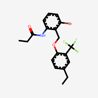 CCC(=O)Nc1cccc(Br)c1COc1ccc(CC)cc1C(F)(F)F